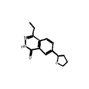 CCc1n[nH]c(=O)c2cc(C3CCCO3)ccc12